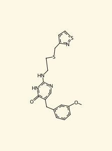 COc1cccc(Cc2cnc(NCCSCc3ccsn3)[nH]c2=O)c1